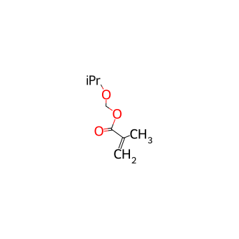 C=C(C)C(=O)OCOC(C)C